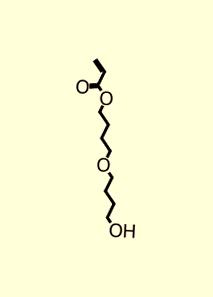 C=CC(=O)OCCCCOCCCCO